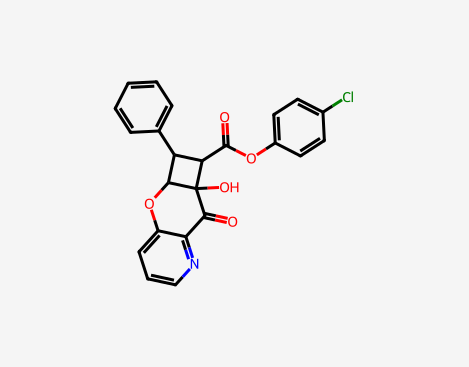 O=C(Oc1ccc(Cl)cc1)C1C(c2ccccc2)C2Oc3cccnc3C(=O)C21O